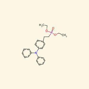 CCOP(=O)(CCc1ccc(N(c2ccccc2)c2ccccc2)cc1)OCC